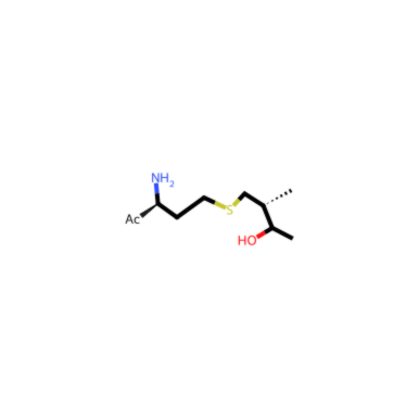 CC(=O)[C@@H](N)CCSC[C@H](C)C(C)O